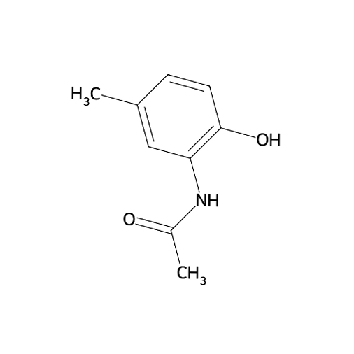 CC(=O)Nc1cc(C)ccc1O